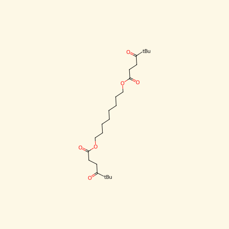 CC(C)(C)C(=O)CCC(=O)OCCCCCCCCOC(=O)CCC(=O)C(C)(C)C